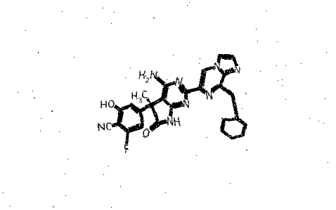 C[C@]1(c2cc(O)c(C#N)c(F)c2)C(=O)Nc2nc(-c3cn4ccnc4c(CC4CCCCC4)n3)nc(N)c21